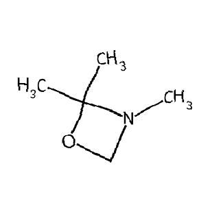 CN1COC1(C)C